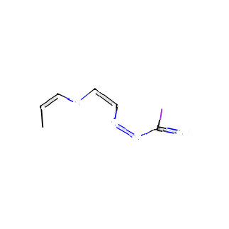 C/C=C\N/C=C\N=N/C(=N)I